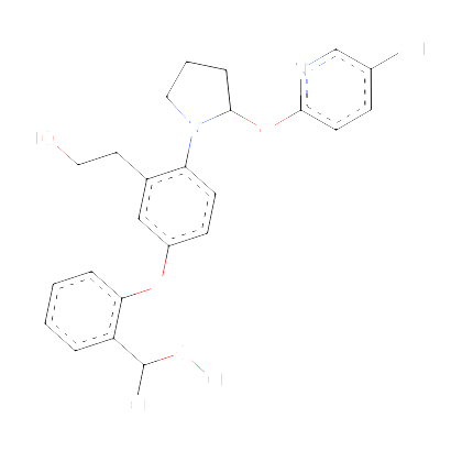 COC(C)c1ccccc1Oc1ccc(N2CCCC2Oc2ccc(C)cn2)c(CCO)c1